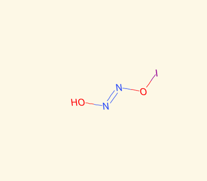 ON=NOI